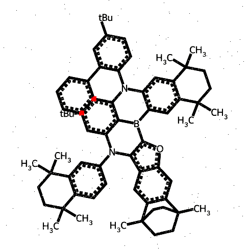 CC(C)(C)c1ccc(N2c3cc4c(cc3B3c5oc6cc7c(cc6c5N(c5ccc6c(c5)C(C)(C)CCC6(C)C)c5cc(C(C)(C)C)cc2c53)C2(C)CCC7(C)CC2)C(C)(C)CCC4(C)C)c(-c2ccccc2)c1